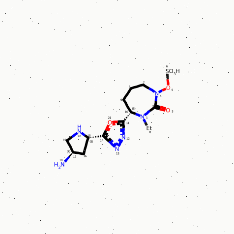 CCN1C(=O)N(OS(=O)(=O)O)CCC[C@H]1c1nnc([C@@H]2C[C@@H](N)CN2)o1